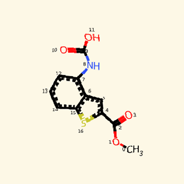 COC(=O)c1cc2c(NC(=O)O)cccc2s1